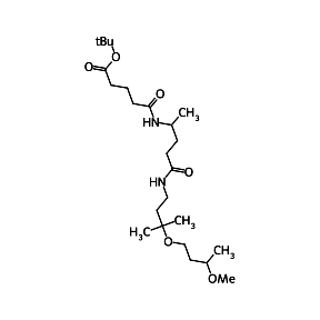 COC(C)CCOC(C)(C)CCNC(=O)CCC(C)NC(=O)CCCC(=O)OC(C)(C)C